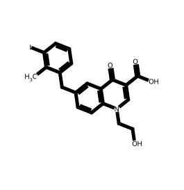 Cc1c(I)cccc1Cc1ccc2c(c1)c(=O)c(C(=O)O)cn2CCO